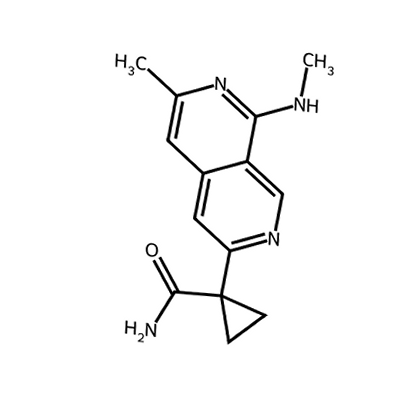 CNc1nc(C)cc2cc(C3(C(N)=O)CC3)ncc12